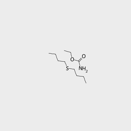 CCCCSCCCC.CCOC(N)=O